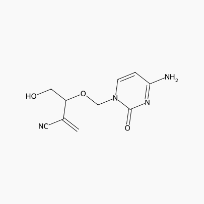 C=C(C#N)C(CO)OCn1ccc(N)nc1=O